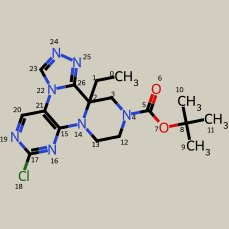 CCC12CN(C(=O)OC(C)(C)C)CCN1c1nc(Cl)ncc1-n1cnnc12